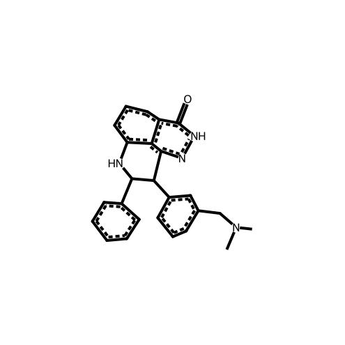 CN(C)Cc1cccc(C2c3n[nH]c(=O)c4cccc(c34)NC2c2ccccc2)c1